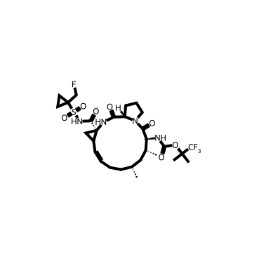 C[C@@H]1CC/C=C\C2C[C@@]2(C(=O)NS(=O)(=O)C2(CF)CC2)NC(=O)[C@@H]2CCCN2C(=O)[C@@H](NC(=O)OC(C)(C)C(F)(F)F)[C@H](C)C1